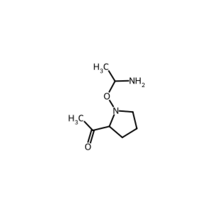 CC(=O)C1CCCN1OC(C)N